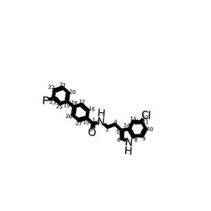 O=C(NCCc1c[nH]c2ccc(Cl)cc12)c1ccc(-c2cccc(F)c2)cc1